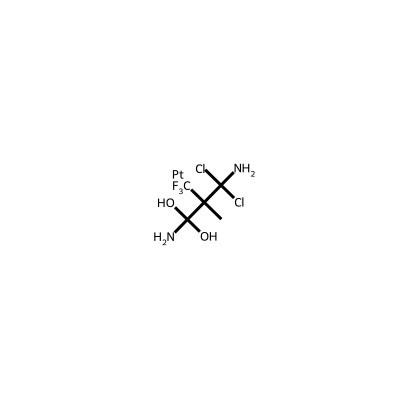 CC(C(N)(O)O)(C(F)(F)F)C(N)(Cl)Cl.[Pt]